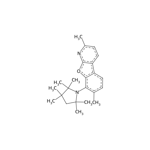 Cc1ccc2c(n1)oc1c(N3C(C)(C)CC(C)(C)C3(C)C)c(C)ccc12